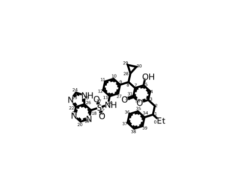 CCC(Cc1cc(O)c(C(c2cccc(NS(=O)(=O)c3ncnc4nc[nH]c34)c2)C2CC2)c(=O)o1)c1ccccc1